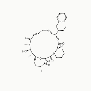 CC[C@H](Cc1ccccc1)[C@@H]1/C=C/C/C=C/C(=O)[C@@H](C)[C@H](O)[C@@H](C)[C@@H]2CC[C@@H](C)C(=O)C(O)(O2)C(=O)N2CCCC[C@H]2C(=O)O1